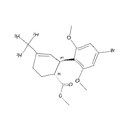 [2H]C([2H])([2H])C1=C[C@@H](c2c(OC)cc(Br)cc2OC)[C@H](C(=O)OC)CC1